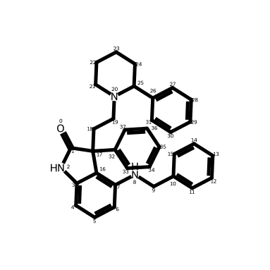 O=C1Nc2cccc(NCc3ccccc3)c2C1(CCN1CCCCC1c1ccccc1)c1ccccc1